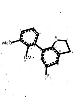 COc1cccc(-c2cc(C(F)(F)F)cc3c2O[CH]C3)c1OC